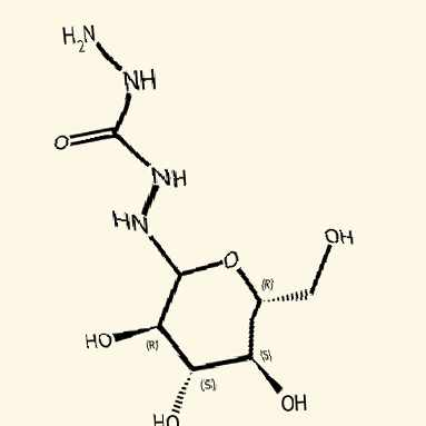 NNC(=O)NNC1O[C@H](CO)[C@@H](O)[C@H](O)[C@H]1O